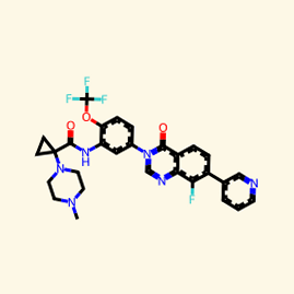 CN1CCN(C2(C(=O)Nc3cc(-n4cnc5c(F)c(-c6cccnc6)ccc5c4=O)ccc3OC(F)(F)F)CC2)CC1